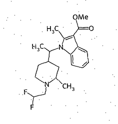 COC(=O)c1c(C)n(C(C)C2CCN(CC(F)F)C(C)C2)c2ccccc12